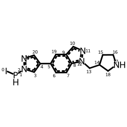 IPn1cc(-c2ccc3c(cnn3CC3CCNC3)c2)cn1